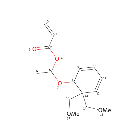 C=CC(=O)OC(C)OC1C=CC=CC1(COC)COC